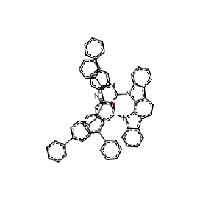 c1ccc(-c2ccc(-c3cc(-c4ccc(-c5ccccc5)cc4)cc(-n4c5ccccc5c5ccc6c7ccccc7n(-c7nc(-c8ccccc8)nc(-c8cccc(-c9ccccc9)c8)n7)c6c54)c3)cc2)cc1